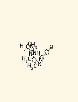 Cc1cc(C)c(-c2nc3c([nH]2)COC(C)(C)C3)cc1C(=O)N1CCC(c2ccc(C#N)cc2)CC1